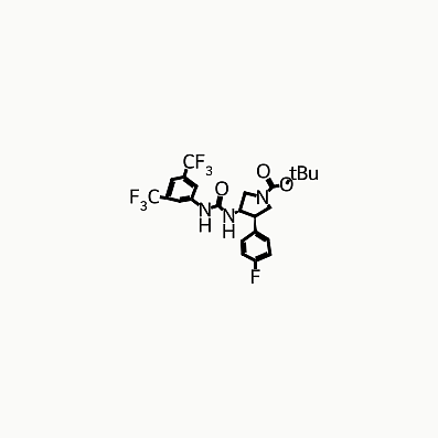 CC(C)(C)OC(=O)N1C[C@H](NC(=O)Nc2cc(C(F)(F)F)cc(C(F)(F)F)c2)[C@H](c2ccc(F)cc2)C1